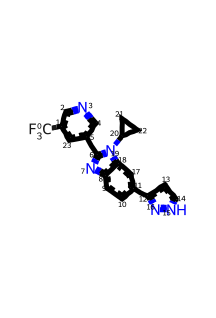 FC(F)(F)c1cncc(-c2nc3ccc(-c4cc[nH]n4)cc3n2C2CC2)c1